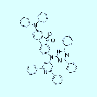 O=S1(=O)c2cc(N(c3ccccc3)c3ccccc3)ccc2-c2ccc(N(c3cc(-c4ccccc4)nc(-c4ccccc4)c3)c3nc(-c4ccccc4)nc(-c4ccccc4)n3)cc21